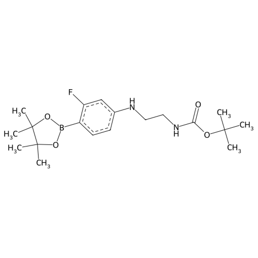 CC(C)(C)OC(=O)NCCNc1ccc(B2OC(C)(C)C(C)(C)O2)c(F)c1